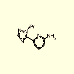 CC(C)n1ncnc1-c1cccc(N)n1